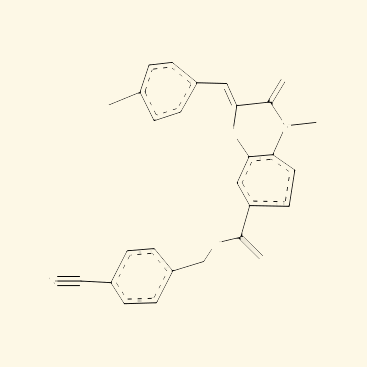 Cc1ccc(C=C2Sc3cc(C(=O)OCc4ccc(C#N)cc4)ccc3N(C)C2=O)cc1